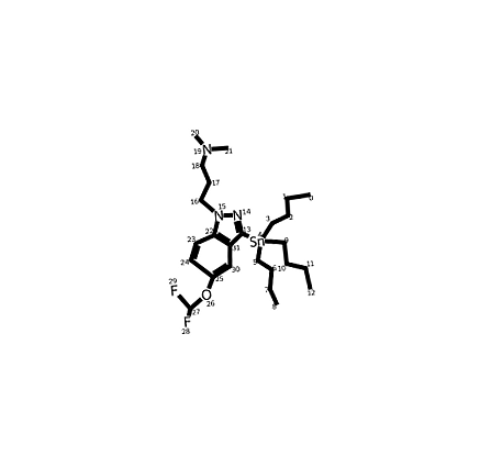 CCC[CH2][Sn]([CH2]CCC)([CH2]CCC)[c]1nn(CCCN(C)C)c2ccc(OC(F)F)cc12